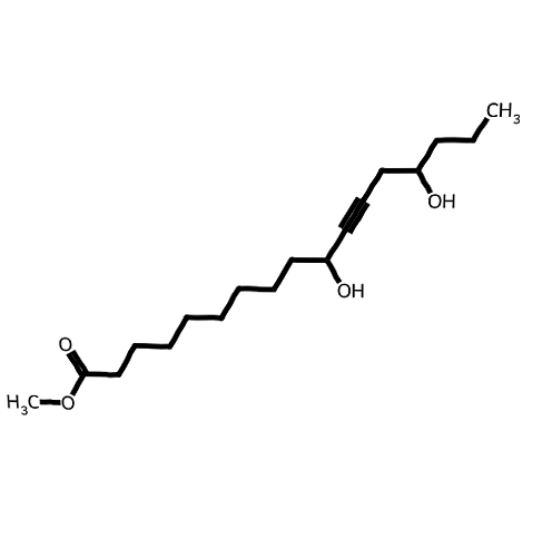 CCCC(O)CC#CC(O)CCCCCCCCC(=O)OC